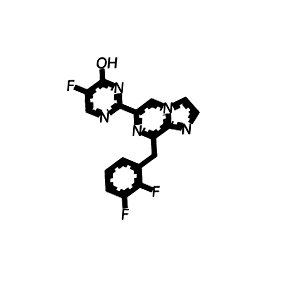 Oc1nc(-c2cn3ccnc3c(Cc3cccc(F)c3F)n2)ncc1F